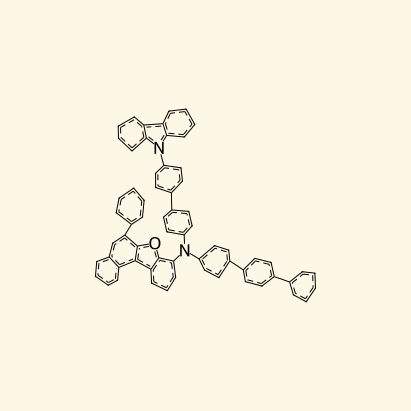 c1ccc(-c2ccc(-c3ccc(N(c4ccc(-c5ccc(-n6c7ccccc7c7ccccc76)cc5)cc4)c4cccc5c4oc4c(-c6ccccc6)cc6ccccc6c45)cc3)cc2)cc1